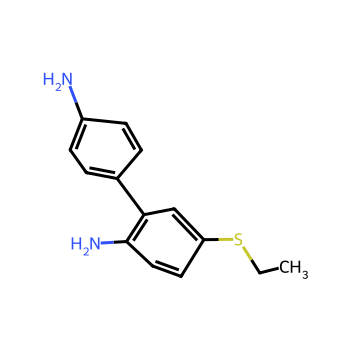 CCSc1ccc(N)c(-c2ccc(N)cc2)c1